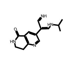 CC(C)N/C=C(\C=N)c1cnc2c(c1)C(=O)NCC2